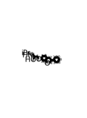 CC(C)NCC(O)COc1ccc2c(c1)OCC(c1ccccc1)C2